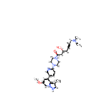 CCOc1cc(-c2ccc(N3CCN(C(=O)CC(O)CC#CCN(C)C)CC3)nc2)c2c(C#N)cnn2c1